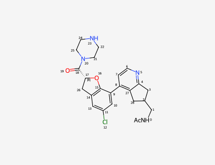 CC(=O)NCC1Cc2nccc(-c3cc(Cl)cc4c3O[C@@H](C(=O)N3CCNCC3)C4)c2C1